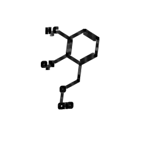 Cc1cccc(COC=O)c1[N+](=O)[O-]